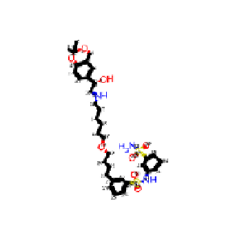 CC1(C)OCc2cc([C@H](O)CNCCCCCCOCCCCc3cccc(S(=O)(=O)Nc4cccc(S(N)(=O)=O)c4)c3)ccc2O1